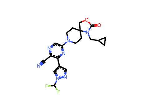 N#Cc1ncc(N2CCC3(CC2)COC(=O)N3CC2CC2)nc1-c1cnn(C(F)F)c1